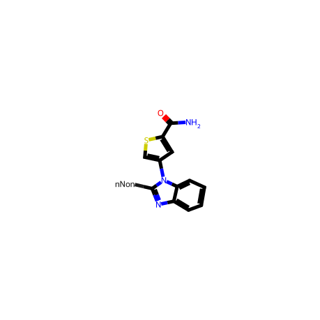 CCCCCCCCCc1nc2ccccc2n1-c1csc(C(N)=O)c1